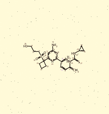 C=C(/C=C\C(=C/C)c1nc(N)cc(C2(S(=O)(=O)CCCO)CCC2)n1)NC(=S)NC1CC1